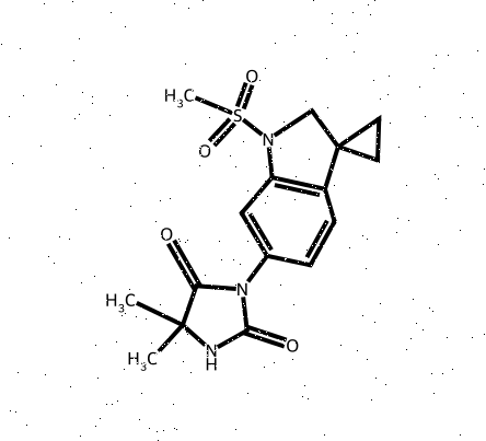 CC1(C)NC(=O)N(c2ccc3c(c2)N(S(C)(=O)=O)CC32CC2)C1=O